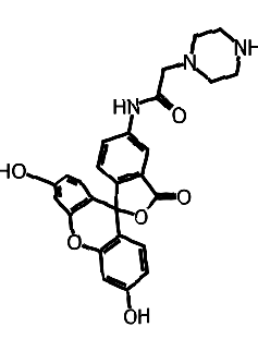 O=C(CN1CCNCC1)Nc1ccc2c(c1)C(=O)OC21c2ccc(O)cc2Oc2cc(O)ccc21